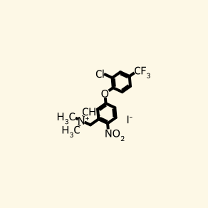 C[N+](C)(C)Cc1cc(Oc2ccc(C(F)(F)F)cc2Cl)ccc1[N+](=O)[O-].[I-]